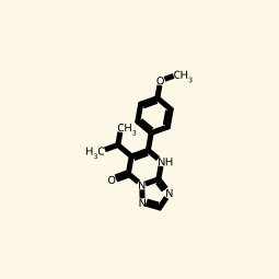 COc1ccc(-c2[nH]c3ncnn3c(=O)c2C(C)C)cc1